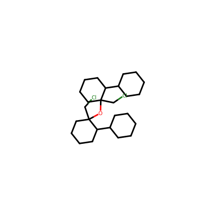 ClCC1(OC2(CCl)CCCCC2C2CCCCC2)CCCCC1C1CCCCC1